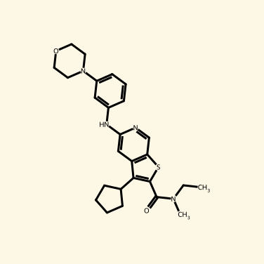 CCN(C)C(=O)c1sc2cnc(Nc3cccc(N4CCOCC4)c3)cc2c1C1CCCC1